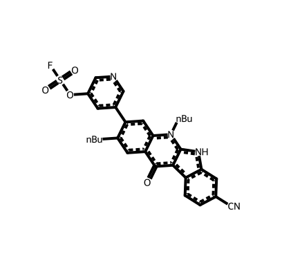 CCCCc1cc2c(=O)c3c4ccc(C#N)cc4[nH]c3n(CCCC)c2cc1-c1cncc(OS(=O)(=O)F)c1